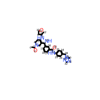 CC(=O)N1CCC(NC2CCOC2)=C(C(=N)c2cccc(C(=O)Nc3ccc(Cn4cncn4)cc3)c2)C1